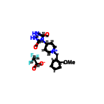 COc1ccccc1C[n+]1ccc(-n2c(=O)[nH][nH]c2=O)cc1.O=C([O-])C(F)(F)F